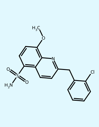 COc1ccc(S(N)(=O)=O)c2ccc(Cc3ccccc3Cl)nc12